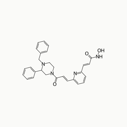 O=C(/C=C/c1cccc(/C=C/C(=O)N2CCN(Cc3ccccc3)C(c3ccccc3)C2)n1)NO